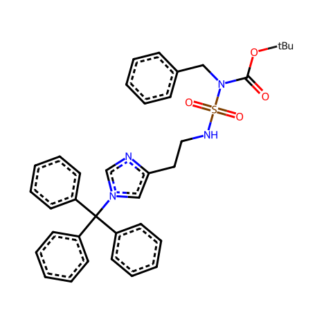 CC(C)(C)OC(=O)N(Cc1ccccc1)S(=O)(=O)NCCc1cn(C(c2ccccc2)(c2ccccc2)c2ccccc2)cn1